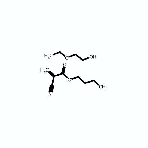 C=C(C#N)C(=O)OCCCC.CCOCCO